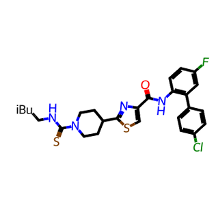 CCC(C)CNC(=S)N1CCC(c2nc(C(=O)Nc3ccc(F)cc3-c3ccc(Cl)cc3)cs2)CC1